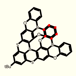 CC(C)(C)c1cc2c3c(c1)Sc1cc4c5c(c1B3c1c(cc3c6c1Oc1ccccc1B6c1ccccc1O3)S2)Oc1ccccc1B5c1ccccc1O4